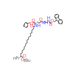 CCCC(CCCCCCCCCCCCCCCCC(=O)N[C@@H](CCC(=O)NCCNC(=O)OCC1c2ccccc2-c2ccccc21)C(=O)OCc1ccccc1)C(=O)OC(C)(C)C